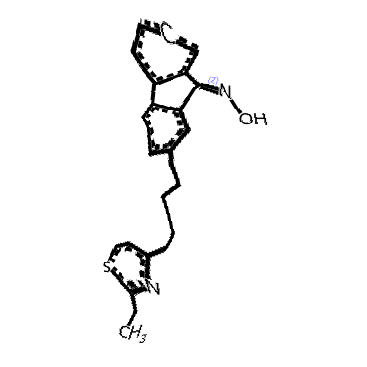 Cc1nc(CCCc2ccc3c(c2)/C(=N\O)c2ccccc2-3)cs1